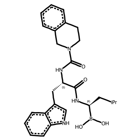 CC(C)C[C@H](NC(=O)[C@H](Cc1c[nH]c2ccccc12)NC(=O)N1CCc2ccccc2C1)B(O)O